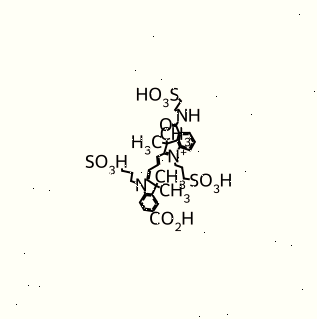 CC1(C)C(/C=C/C=C2/N(CCCS(=O)(=O)O)c3ccc(C(=O)O)cc3C2(C)C)=[N+](CCCS(=O)(=O)O)c2cccc(C(=O)NCCS(=O)(=O)O)c21